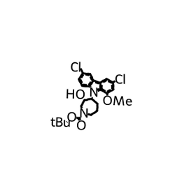 COc1cc(Cl)cc2c3cc(Cl)ccc3n([C@@H]3CCCN(C(=O)OC(C)(C)C)C[C@H]3O)c12